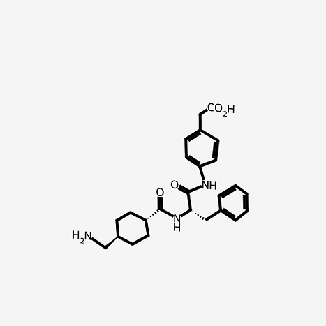 NC[C@H]1CC[C@H](C(=O)N[C@@H](Cc2ccccc2)C(=O)Nc2ccc(CC(=O)O)cc2)CC1